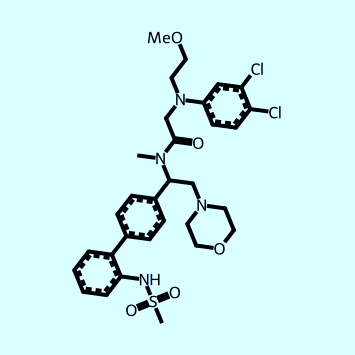 COCCN(CC(=O)N(C)C(CN1CCOCC1)c1ccc(-c2ccccc2NS(C)(=O)=O)cc1)c1ccc(Cl)c(Cl)c1